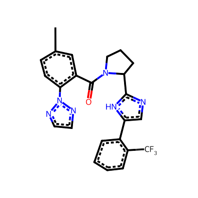 Cc1ccc(-n2nccn2)c(C(=O)N2CCCC2c2ncc(-c3ccccc3C(F)(F)F)[nH]2)c1